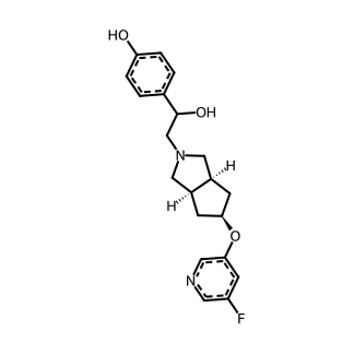 Oc1ccc(C(O)CN2C[C@H]3C[C@@H](Oc4cncc(F)c4)C[C@H]3C2)cc1